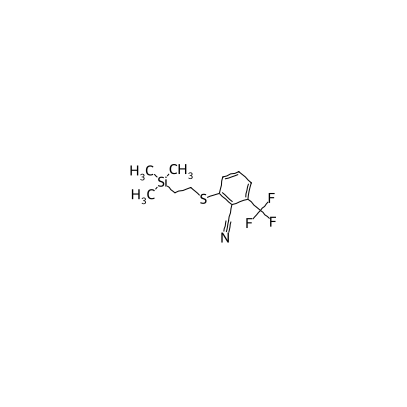 C[Si](C)(C)CCSc1cccc(C(F)(F)F)c1C#N